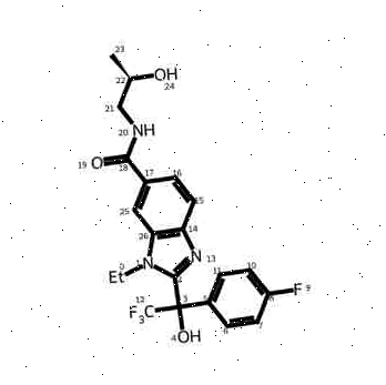 CCn1c(C(O)(c2ccc(F)cc2)C(F)(F)F)nc2ccc(C(=O)NC[C@@H](C)O)cc21